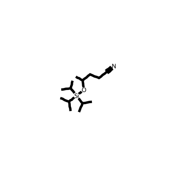 CC(CCC#N)O[Si](C(C)C)(C(C)C)C(C)C